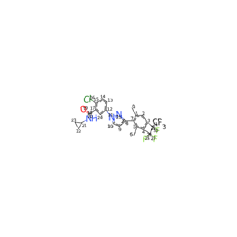 Cc1cc2c(c(C)c1-c1ccn(-c3ccc(Cl)c(C(=O)NC4CC4)c3)n1)C(F)(F)C2(F)C(F)(F)F